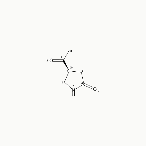 CC(=O)[C@@H]1CNC(=O)C1